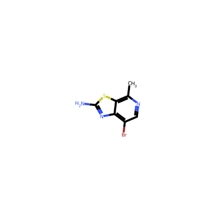 Cc1ncc(Br)c2nc(N)sc12